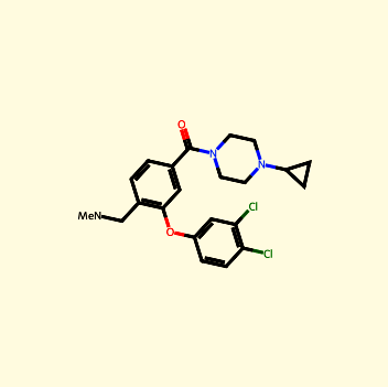 CNCc1ccc(C(=O)N2CCN(C3CC3)CC2)cc1Oc1ccc(Cl)c(Cl)c1